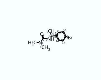 C[C@H](NC(=O)N(C)C)c1ccc(Br)cc1